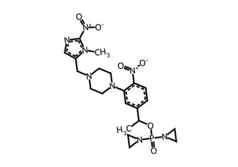 CC(OP(=O)(N1CC1)N1CC1)c1ccc([N+](=O)[O-])c(N2CCN(Cc3cnc([N+](=O)[O-])n3C)CC2)c1